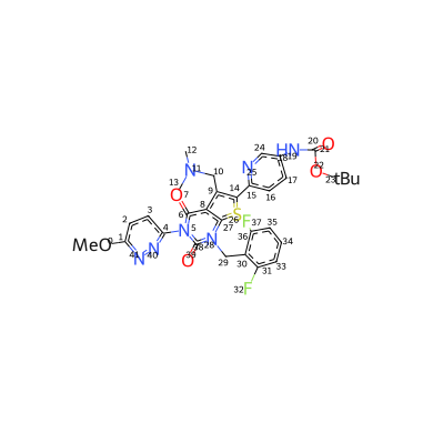 COc1ccc(-n2c(=O)c3c(CN(C)C)c(-c4ccc(NC(=O)OC(C)(C)C)cn4)sc3n(Cc3c(F)cccc3F)c2=O)nn1